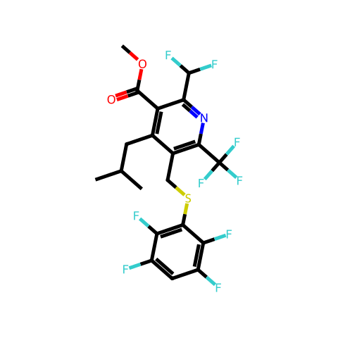 COC(=O)c1c(C(F)F)nc(C(F)(F)F)c(CSc2c(F)c(F)cc(F)c2F)c1CC(C)C